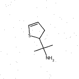 CC(C)(N)C1CC=CS1